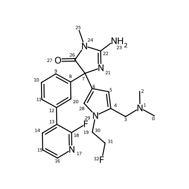 CN(C)Cc1cc(C2(c3cccc(-c4cccnc4F)c3)N=C(N)N(C)C2=O)cn1CCF